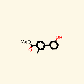 COC(=O)c1ccc(-c2cccc(O)c2)cc1C